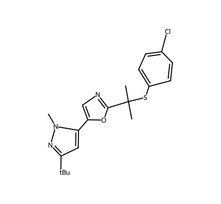 Cn1nc(C(C)(C)C)cc1-c1cnc(C(C)(C)Sc2ccc(Cl)cc2)o1